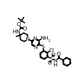 CC1(NC(=O)OC(C)(C)C)CCN(c2cnc(Sc3cccc(S(=O)(=O)NC(=O)c4ccccc4)c3Cl)c(N)n2)CC1